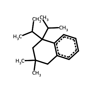 CC(C)C1(C(C)C)CC(C)(C)Cc2ccccc21